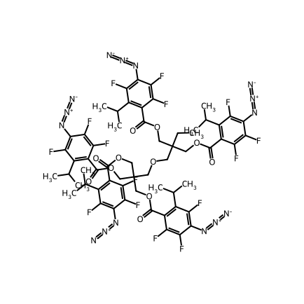 CCC(COCC(COC(=O)c1c(F)c(F)c(N=[N+]=[N-])c(F)c1C(C)C)(COC(=O)c1c(F)c(F)c(N=[N+]=[N-])c(F)c1C(C)C)COC(=O)c1c(F)c(F)c(N=[N+]=[N-])c(F)c1C(C)C)(COC(=O)c1c(F)c(F)c(N=[N+]=[N-])c(F)c1C(C)C)COC(=O)c1c(F)c(F)c(N=[N+]=[N-])c(F)c1C(C)C